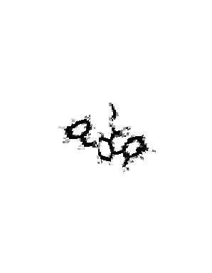 CCOC(=O)C1=C(c2ccccc2C)CCN(Cc2ccccc2)C1